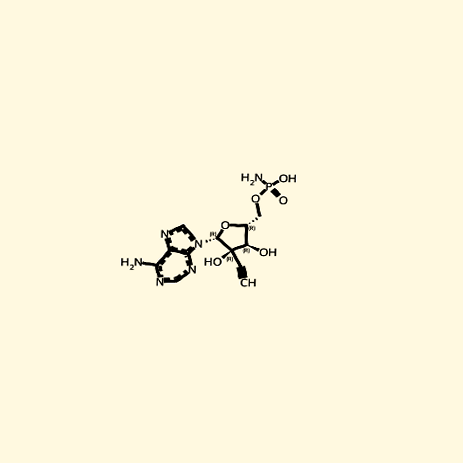 C#C[C@@]1(O)[C@H](O)[C@@H](COP(N)(=O)O)O[C@H]1n1cnc2c(N)ncnc21